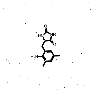 Cc1cc(C)c(N)c(CC2NC(=O)NC2=O)c1